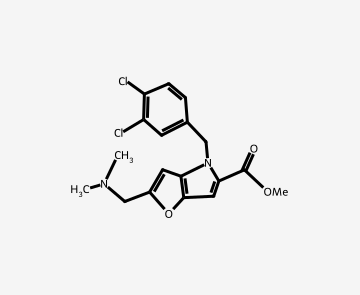 COC(=O)c1cc2oc(CN(C)C)cc2n1Cc1ccc(Cl)c(Cl)c1